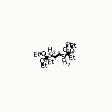 CCOC(CC)(OCC)[SiH2]CC[SiH2]C(CC)(OCC)OCC